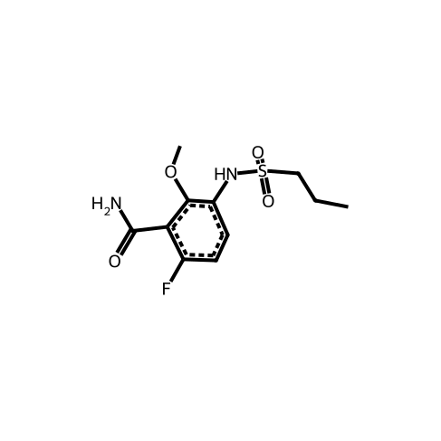 CCCS(=O)(=O)Nc1ccc(F)c(C(N)=O)c1OC